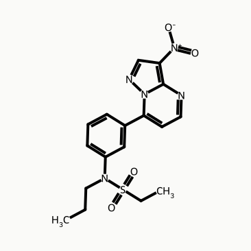 CCCN(c1cccc(-c2ccnc3c([N+](=O)[O-])cnn23)c1)S(=O)(=O)CC